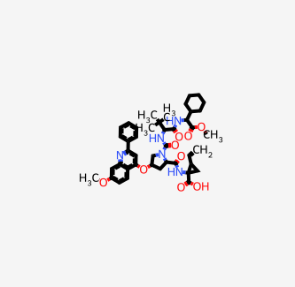 C=CC1CC1(NC(=O)C1CC(Oc2cc(-c3ccccc3)nc3cc(OC)ccc23)CN1C(=O)NC(C(=O)NC(C(=O)OC)C1CCCCC1)C(C)(C)C)C(=O)O